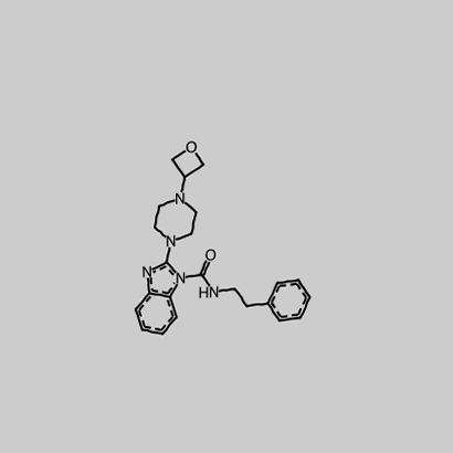 O=C(NCCc1ccccc1)n1c(N2CCN(C3COC3)CC2)nc2ccccc21